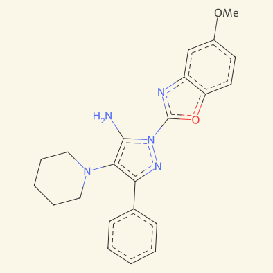 COc1ccc2oc(-n3nc(-c4ccccc4)c(N4CCCCC4)c3N)nc2c1